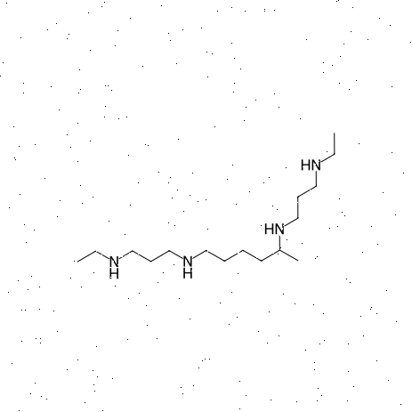 CCNCCCNCCCCC(C)NCCCNCC